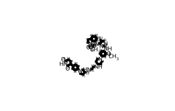 COc1cc(N2CCC(NCCNC[C@@H]3CCN(c4ccc(C5CCC(=O)NC5=O)cc4)C3)CC2)ccc1Nc1ncc(Cl)c(Nc2cccc3c2N(S(C)(=O)=O)CC3)n1